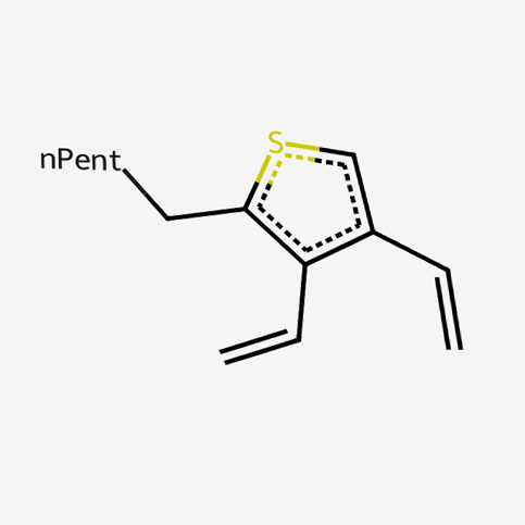 C=Cc1csc(CCCCCC)c1C=C